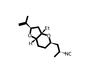 [C-]#[N+][C@H](C)C[C@H]1CC[C@@H]2O[C@@H](C(=C)C)C[C@]2(CC)O1